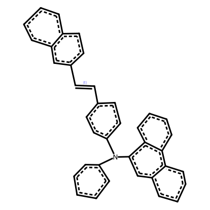 C(=C\c1ccc2ccccc2c1)/c1ccc(N(c2ccccc2)c2cc3ccccc3c3ccccc23)cc1